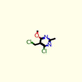 COc1nc(C)nc(Cl)c1CCl